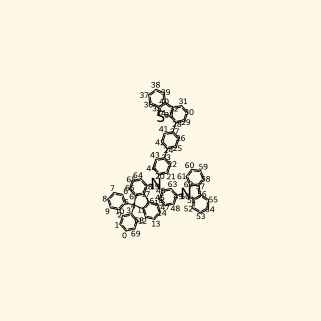 c1ccc(C2(c3ccccc3)c3ccccc3-c3c(N(c4ccc(-c5ccc(-c6cccc7c6sc6ccccc67)cc5)cc4)c4cccc(-n5c6ccccc6c6ccccc65)c4)cccc32)cc1